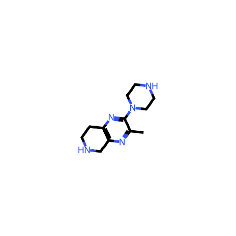 Cc1nc2c(nc1N1CCNCC1)CCNC2